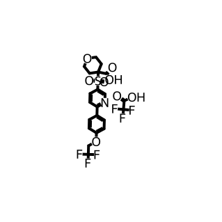 O=C(O)C(F)(F)F.O=C(O)C1(S(=O)(=O)c2ccc(-c3ccc(OCC(F)(F)F)cc3)nc2)CCOCC1